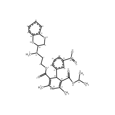 CC1=C(C(=O)OCCN(C)C2COc3ccccc3O2)C(c2cccc([N+](=O)[O-])c2)C(C(=O)OC(C)C)=C(C)N1